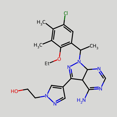 CCOc1c(C(C)N2N=C(c3cnn(CCO)c3)C3C(N)=NC=NC32)cc(Cl)c(C)c1C